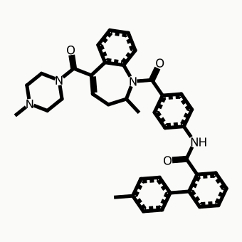 Cc1ccc(-c2ccccc2C(=O)Nc2ccc(C(=O)N3c4ccccc4C(C(=O)N4CCN(C)CC4)=CCC3C)cc2)cc1